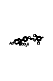 CC(=O)N1CC2CC(c3ccc(OCCOc4c(Cl)cc(C)cc4Cl)cc3)=C(C(=O)O)[C@@H](C1)N2